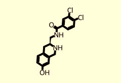 O=C(NC[C@@H]1Cc2ccc(O)cc2CN1)c1ccc(Cl)c(Cl)c1